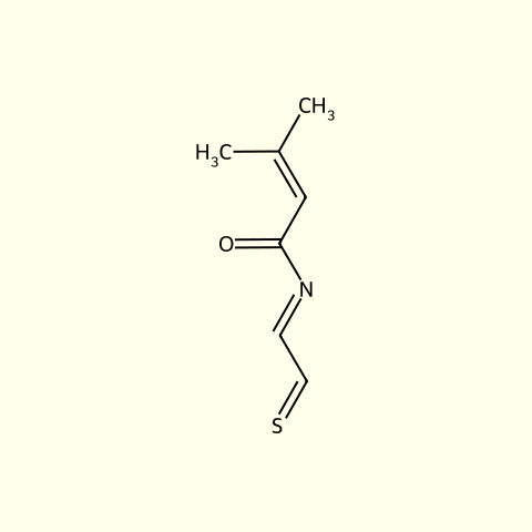 CC(C)=CC(=O)N=CC=S